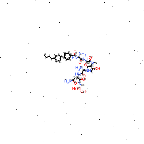 CCCCc1ccc(-c2ccc(C(=O)N[C@H](N)C(=O)NCC(=O)N(C)[C@H](C(=O)N[C@@H](N)C(=O)N[C@@H](CC(N)=O)C(=O)NCB(O)O)C(C)O)cc2)cc1